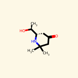 C[C@H](O)[C@@H]1CC(=O)CC(C)(C)N1